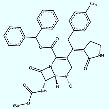 CC(C)(C)OC(=O)N[C@@H]1C(=O)N2C(C(=O)OC(c3ccccc3)c3ccccc3)=C(C(Cc3ccc(C(F)(F)F)cc3)=C3CCNC3=O)C[S@+]([O-])[C@H]12